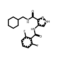 O=C(NCC1CCCCC1)c1n[nH]cc1NC(=O)c1c(F)cccc1F